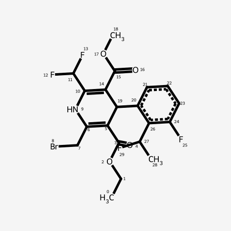 CCOC(=O)C1=C(CBr)NC(C(F)F)=C(C(=O)OC)C1c1cccc(F)c1C(C)F